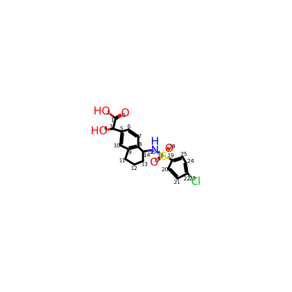 O=C(O)C(O)c1ccc2c(c1)CCCC2NS(=O)(=O)c1ccc(Cl)cc1